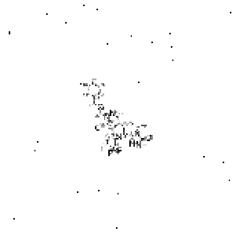 CCn1c(-c2nc(O[C@@H](C)C(F)(F)F)c3c(c2F)C=NN(COCc2ccccc2)[C@H]3Cl)n[nH]c1=O